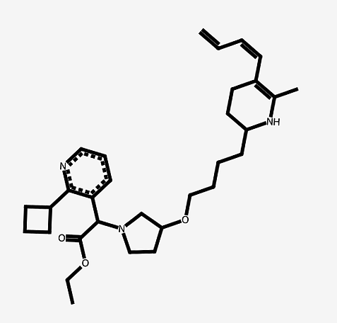 C=C/C=C\C1=C(C)NC(CCCCOC2CCN(C(C(=O)OCC)c3cccnc3C3CCC3)C2)CC1